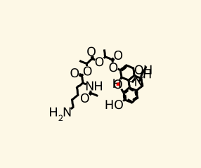 CC(=O)NC(CCCCN)C(=O)OC(C)C(=O)OC(C)C(=O)OC1=CC[C@@]2(O)[C@H]3Cc4ccc(O)c5c4[C@@]2(CCN3C)[C@H]1O5